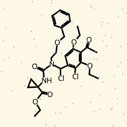 CCOC(=O)C1(NC(=O)N(CCOCc2ccccc2)C(Cl)c2cc(OCC)c(C(C)=O)c(OCC)c2Cl)CC1